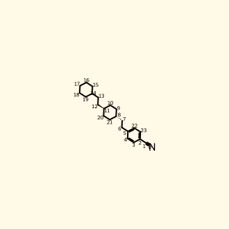 N#Cc1ccc(CC[C@H]2CC[C@H](CCC3CCCCC3)CC2)cc1